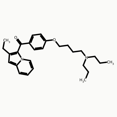 CCCN(CCC)CCCCOc1ccc(C(=O)c2c(CC)cc3ccccn23)cc1